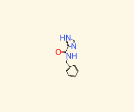 O=C(NCc1ccccc1)c1c[nH]cn1